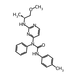 COC[C@H](C)Nc1nccc(N(C(=O)Nc2ccc(C)cc2)c2ccccc2)n1